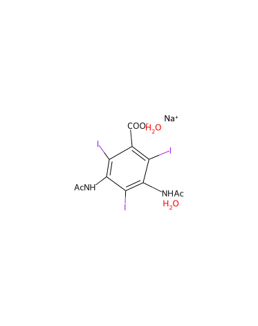 CC(=O)Nc1c(I)c(NC(C)=O)c(I)c(C(=O)[O-])c1I.O.O.[Na+]